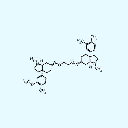 COc1cc([C@@]23CCC(=NOCCON=C4CC[C@@]5(c6ccc(C)c(C)c6)CCN(C)[C@H]5C4)C[C@@H]2N(C)CC3)ccc1C